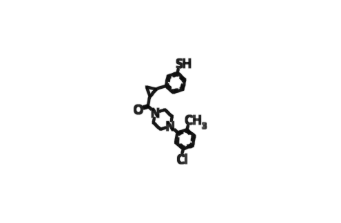 Cc1ccc(Cl)cc1N1CCN(C(=O)C2CC2c2cccc(S)c2)CC1